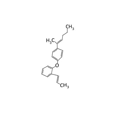 C/C=C/c1ccccc1Oc1ccc(/C(C)=C/CCC)cc1